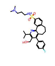 CC(C)c1nc2c(c(-c3ccc(F)cc3)c1CO)CCCc1ccc(S(=O)(=O)NCCCN(C)C)cc1-2